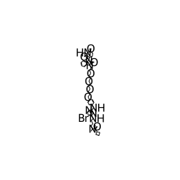 CN(CCCNc1nc(Nc2ccc(OCCOCCOCCOCCn3c(=O)n(C4CCC(=O)NC4=O)c4ccccc43)cc2)ncc1Br)C(=O)C1CCC1